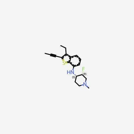 CC#Cc1sc2c(N[C@H]3CCN(C)C[C@H]3F)cccc2c1CC